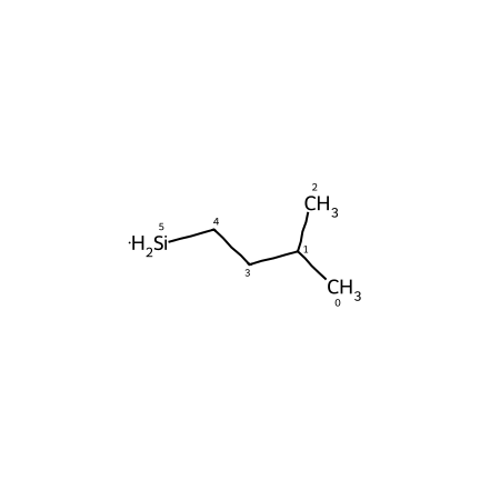 CC(C)CC[SiH2]